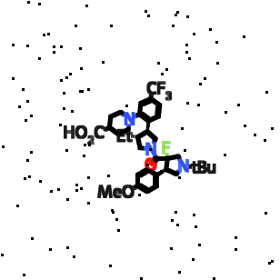 CC[C@H]1CN(C(=O)[C@]2(F)CN(C(C)(C)C)C[C@H]2c2ccc(OC)cc2)C[C@@H]1c1ccc(C(F)(F)F)cc1N1CCC(C(=O)O)CC1